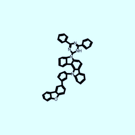 c1ccc(C2=NC(n3c4ccccc4c4c5c(ccc43)c3ccccc3n5-c3cccc(-c4ccc5oc6ccccc6c5c4)c3)NC(c3ccccc3)=N2)cc1